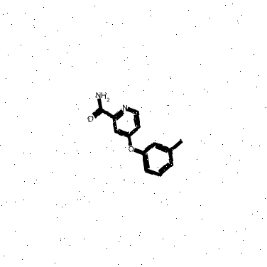 Cc1cccc(Oc2ccnc(C(N)=O)c2)c1